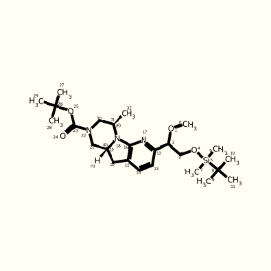 COC(CO[Si](C)(C)C(C)(C)C)c1ccc2c(n1)N1[C@H](C2)CN(C(=O)OC(C)(C)C)C[C@H]1C